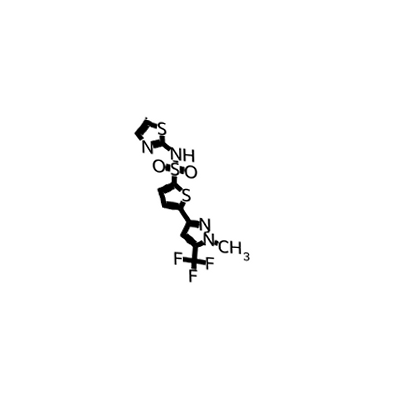 Cn1nc(-c2ccc(S(=O)(=O)Nc3nc[c]s3)s2)cc1C(F)(F)F